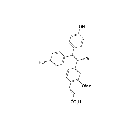 CCCCC(=C(c1ccc(O)cc1)c1ccc(O)cc1)c1ccc(/C=C/C(=O)O)c(OC)c1